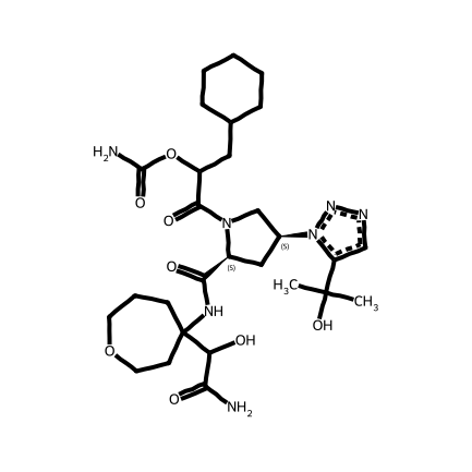 CC(C)(O)c1cnnn1[C@H]1C[C@@H](C(=O)NC2(C(O)C(N)=O)CCCOCC2)N(C(=O)C(CC2CCCCC2)OC(N)=O)C1